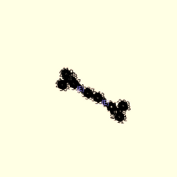 C(=C\c1ccc2c(c1)Sc1ccccc1N2c1ccccc1)/c1ccc(-c2ccc(/C=C/c3ccc4c(c3)Sc3ccccc3N4c3ccccc3)cc2)cc1